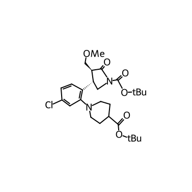 COC[C@H]1C(=O)N(C(=O)OC(C)(C)C)C[C@@H]1c1ccc(Cl)cc1N1CCC(C(=O)OC(C)(C)C)CC1